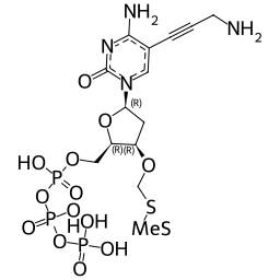 CSSCO[C@@H]1C[C@H](n2cc(C#CCN)c(N)nc2=O)O[C@@H]1COP(=O)(O)OP(=O)(O)OP(=O)(O)O